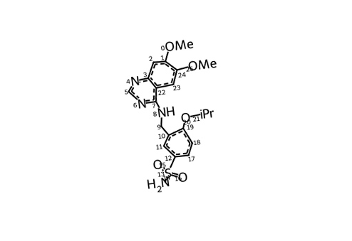 COc1cc2ncnc(NCc3cc(S(N)(=O)=O)ccc3OC(C)C)c2cc1OC